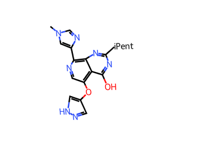 CCCC(C)c1nc(O)c2c(Oc3cn[nH]c3)cnc(-c3cn(C)cn3)c2n1